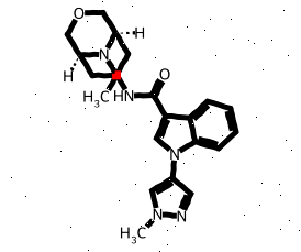 CCN1[C@@H]2COC[C@H]1CC(NC(=O)c1cn(-c3cnn(C)c3)c3ccccc13)C2